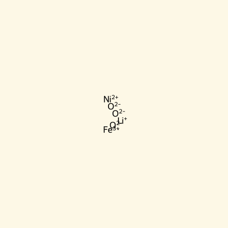 [Fe+3].[Li+].[Ni+2].[O-2].[O-2].[O-2]